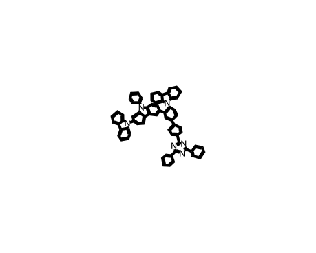 c1ccc(-c2nc(-c3ccccc3)nc(-c3ccc(-c4ccc(-n5c6ccccc6c6ccccc65)c(-c5ccc6c(c5)c5ccc(-n7c8ccccc8c8ccccc87)cc5n6-c5ccccc5)c4)cc3)n2)cc1